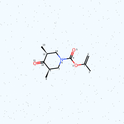 C=C(C)OC(=O)N1C[C@@H](C)C(=O)[C@@H](C)C1